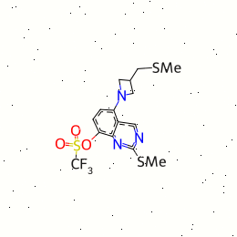 CSCC1CN(c2ccc(OS(=O)(=O)C(F)(F)F)c3nc(SC)ncc23)C1